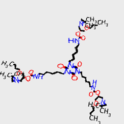 CCCCOCC(CN1CC1(C)C)OC(=O)NCCCCCCn1c(=O)n(CCCCCCNC(=O)OC(COCCCC)CN2CC2(C)C)c(=O)n(CCCCCCNC(=O)OC(COCCCC)CN2CC2(C)C)c1=O